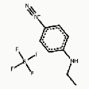 CCNc1ccc([N+]#N)cc1.F[B-](F)(F)F